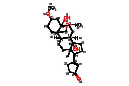 CC12CC[C@H]3[C@@H](CCC4(O)CC(O[N+](=O)[O-])CCC34CO[N+](=O)[O-])C1(O)CCC2C1=CC(=O)CC1